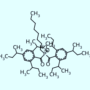 CCCCCCCCP(=O)(C(=O)c1c(C(C)CC)cc(C(C)CC)cc1C(C)CC)C(=O)c1c(C(C)CC)cc(C(C)CC)cc1C(C)CC